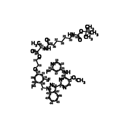 COc1cnc(-c2nn(Cc3c(F)cc(OCCOC(=O)C(C)NC(=O)CCCCCNC(=O)OC(C)(C)C)cc3F)c3ccccc23)nc1Nc1ccnc(F)c1